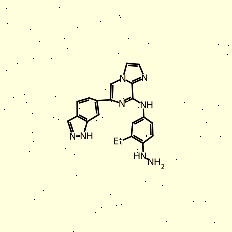 CCc1cc(Nc2nc(-c3ccc4cn[nH]c4c3)cn3ccnc23)ccc1NN